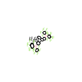 C[Si]1(C)c2cc(B(c3c(F)c(F)c(F)c(F)c3F)c3c(F)c(F)c(F)c(F)c3F)ccc2-c2cc3ccc(B(c4c(F)c(F)c(F)c(F)c4F)c4c(F)c(F)c(F)c(F)c4F)cc3c3cccc1c23